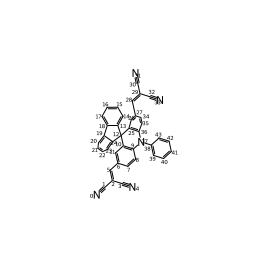 N#CC(C#N)=Cc1ccc2c(c1)C1(c3ccccc3-c3ccccc31)c1cc(C=C(C#N)C#N)ccc1N2c1ccccc1